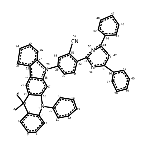 CC1(C)c2ccccc2N(c2ccccc2)c2cc3c(cc21)c1ccccc1n3-c1ccc(-c2nc(-c3ccccc3)nc(-c3ccccc3)n2)c(C#N)c1